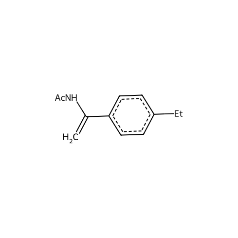 C=C(NC(C)=O)c1ccc(CC)cc1